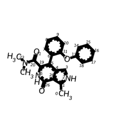 Cc1[nH]cc2c(-c3ccccc3Oc3ccccc3)c(C(=O)N(C)C)[nH]c(=O)c12